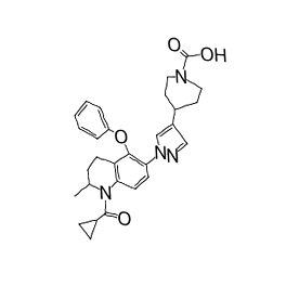 CC1CCc2c(ccc(-n3cc(C4CCN(C(=O)O)CC4)cn3)c2Oc2ccccc2)N1C(=O)C1CC1